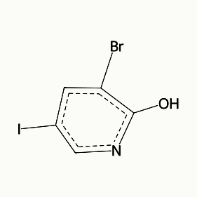 Oc1ncc(I)cc1Br